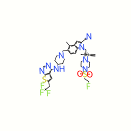 C#C[C@@](C)(Cn1c(C#N)cc2c(C)c(CN3CCC(Nc4ncnc5sc(CC(F)(F)F)cc45)CC3)ccc21)N1CCN(S(=O)(=O)CCF)CC1